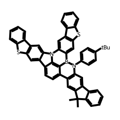 CC(C)(C)c1ccc(N2B3c4cc5sc6ccccc6c5cc4-n4c5cc6c(cc5c5ccc(c3c54)-c3cc4c(cc32)-c2ccccc2C4(C)C)sc2ccccc26)cc1